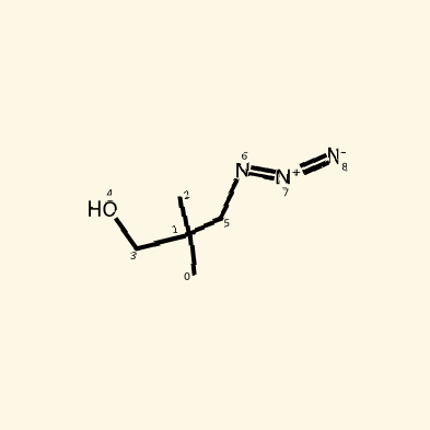 CC(C)(CO)CN=[N+]=[N-]